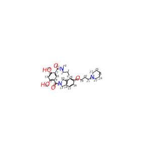 CCCN(C)C(=O)c1cc(C(=O)N2Cc3ccc(OCCCN4CCCCC4)cc3C2)c(O)cc1O